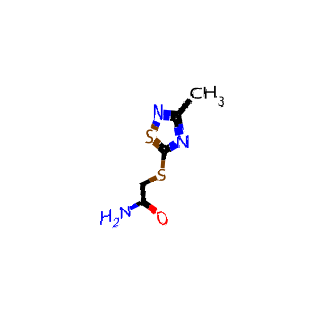 Cc1nsc(SCC(N)=O)n1